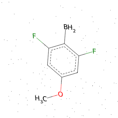 Bc1c(F)cc(OC)cc1F